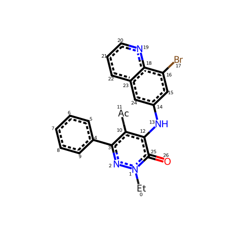 CCn1nc(-c2ccccc2)c(C(C)=O)c(Nc2cc(Br)c3ncccc3c2)c1=O